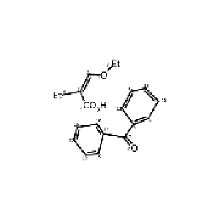 CCOC=C(CC)C(=O)O.O=C(c1ccccc1)c1ccccc1